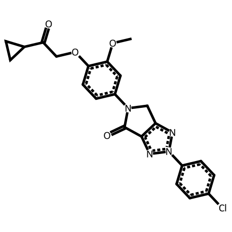 COc1cc(N2Cc3nn(-c4ccc(Cl)cc4)nc3C2=O)ccc1OCC(=O)C1CC1